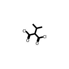 CC(C)C(C(=O)Cl)C(=O)Cl